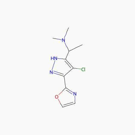 CC(c1[nH]nc(-c2ncco2)c1Cl)N(C)C